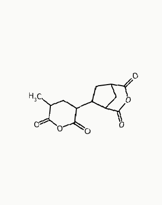 CC1CC(C2CC3CC2C(=O)OC3=O)C(=O)OC1=O